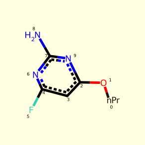 CCCOc1cc(F)nc(N)n1